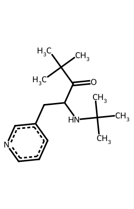 CC(C)(C)NC(Cc1cccnc1)C(=O)C(C)(C)C